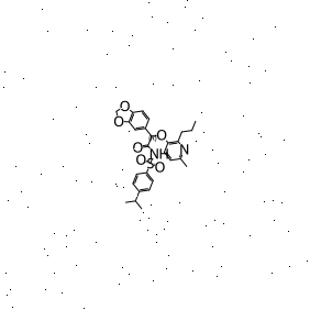 CCCc1nc(C)ccc1O[C@@H](C(=O)NS(=O)(=O)c1ccc(C(C)C)cc1)c1ccc2c(c1)OCO2